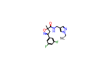 CC1(C(=O)NCc2cnn(CC#N)c2)CC(c2cc(F)cc(F)c2)=NO1